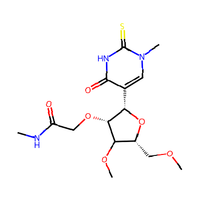 CNC(=O)CO[C@H]1C(OC)[C@@H](COC)O[C@H]1c1cn(C)c(=S)[nH]c1=O